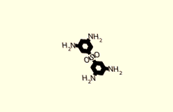 Nc1cc(N)cc(S(=O)(=O)c2cc(N)cc(N)c2)c1